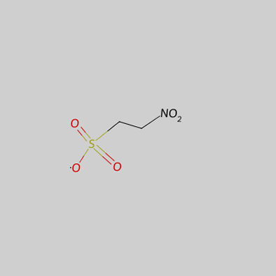 [O]S(=O)(=O)CC[N+](=O)[O-]